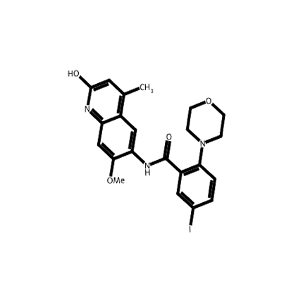 COc1cc2nc(O)cc(C)c2cc1NC(=O)c1cc(I)ccc1N1CCOCC1